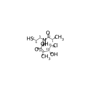 CCC(=O)NCCS.C[C@H](C(=O)O)[C@@H](O)CCl